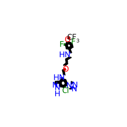 Fc1cc(CNCCCCOCCNc2cc(-n3cnnc3)c(Cl)c3[nH]ncc23)cc(F)c1OC(F)(F)F